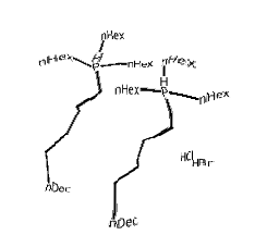 Br.CCCCCCCCCCCCCC[PH](CCCCCC)(CCCCCC)CCCCCC.CCCCCCCCCCCCCC[PH](CCCCCC)(CCCCCC)CCCCCC.Cl